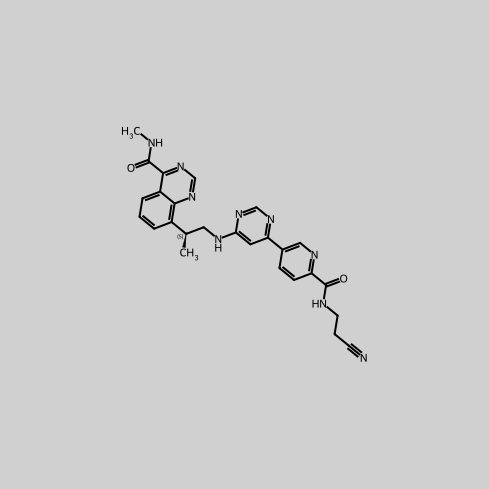 CNC(=O)c1ncnc2c([C@H](C)CNc3cc(-c4ccc(C(=O)NCCC#N)nc4)ncn3)cccc12